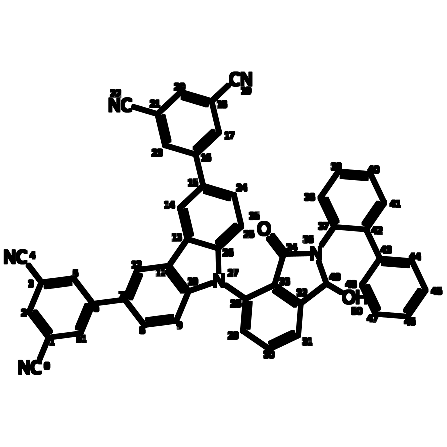 N#Cc1cc(C#N)cc(-c2ccc3c(c2)c2cc(-c4cc(C#N)cc(C#N)c4)ccc2n3-c2cccc3c2C(=O)N(c2ccccc2-c2ccccc2)C3O)c1